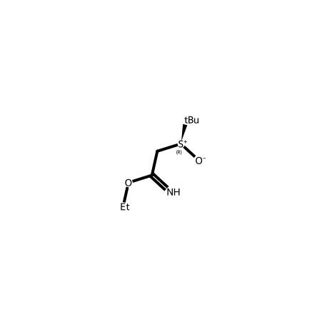 CCOC(=N)C[S@+]([O-])C(C)(C)C